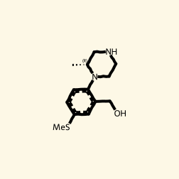 CSc1ccc(N2CCNC[C@H]2C)c(CO)c1